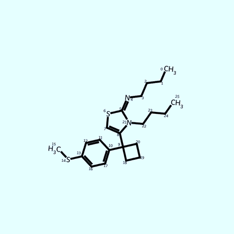 CCCC/N=c1/scc(C2(c3ccc(SC)cc3)CCC2)n1CCCC